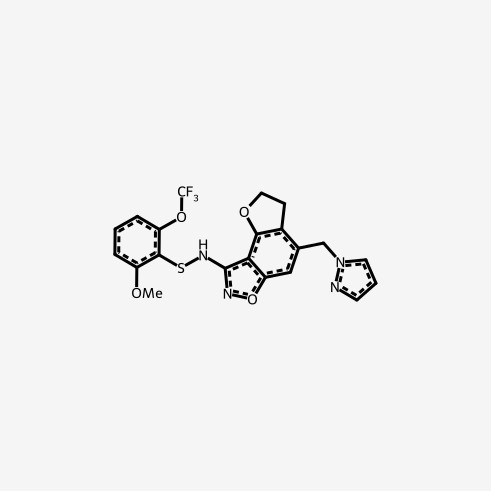 COc1cccc(OC(F)(F)F)c1SNc1noc2cc(Cn3cccn3)c3c(c12)OCC3